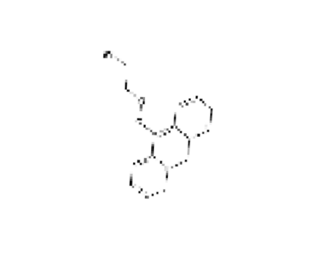 CC(C)CCOOc1c2ccccc2cc2ccccc12